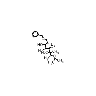 CC(C)OC(C)C(C)(C)C(=O)C(C)C(O)[C@@H](C)COCc1ccccc1